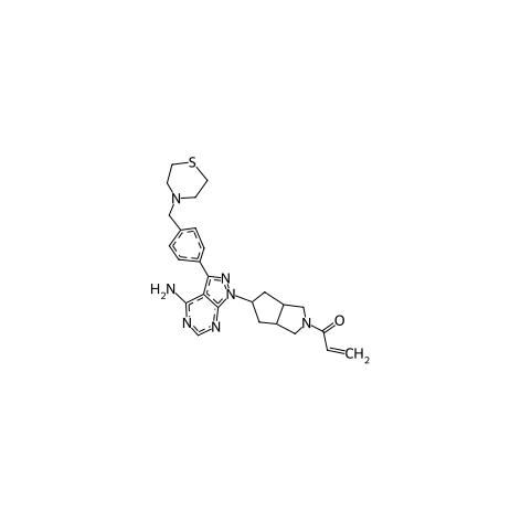 C=CC(=O)N1CC2CC(n3nc(-c4ccc(CN5CCSCC5)cc4)c4c(N)ncnc43)CC2C1